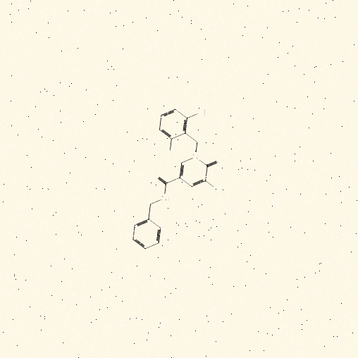 O=C(NCc1ccccc1)c1cc(Cl)c(=O)n(Cc2c(Cl)cccc2Cl)c1